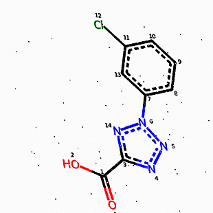 O=C(O)c1nnn(-c2cccc(Cl)c2)n1